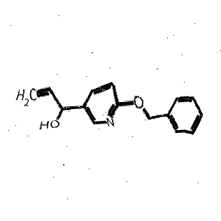 C=CC(O)c1ccc(OCc2ccccc2)nc1